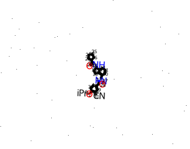 CC(C)Oc1ccc(-c2nc(-c3cccc4c3CC[C@H]4NC(=O)C3CC[C@H](C)C3)no2)cc1C#N